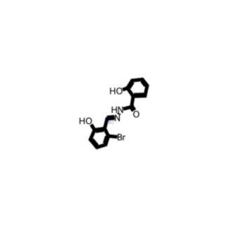 O=C(N/N=C/c1c(O)cccc1Br)c1ccccc1O